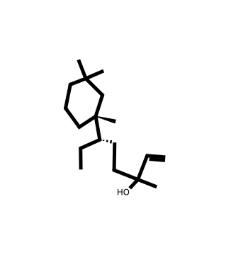 C=CC(C)(O)CC[C@H](CC)[C@]1(C)CCCC(C)(C)C1